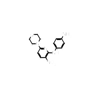 Nc1ccc(Nc2nc(N3CCOCC3)ccc2[N+](=O)[O-])cc1